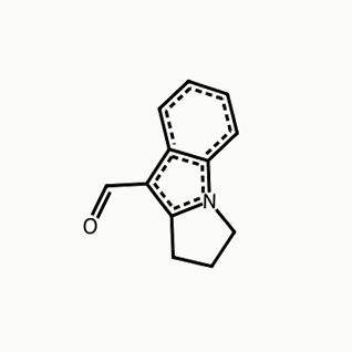 O=Cc1c2n(c3ccccc13)CCC2